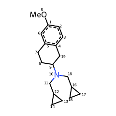 COc1ccc2c(c1)CCC(N(CC1CC1)CC1CC1)C2